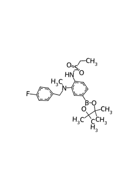 CCS(=O)(=O)Nc1ccc(B2OC(C)(C)C(C)(C)O2)cc1N(C)Cc1ccc(F)cc1